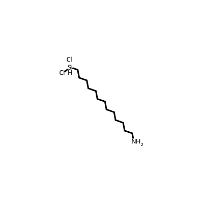 NCCCCCCCCCCCCC[SiH](Cl)Cl